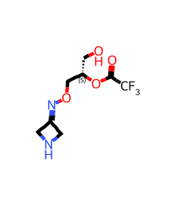 O=C(O[C@@H](CO)CON=C1CNC1)C(F)(F)F